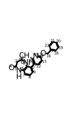 C[C@@H]1CC(=O)Nc2cccc(-c3ccc(OCc4ccccc4)nc3)c2N1